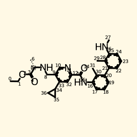 CCOC(=O)[C@H](C)NCc1cnc(C(=O)Nc2cccc(-c3cccc(NC)c3C)c2C)cc1C1CC1